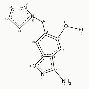 CCOc1cc2c(N)noc2cc1Cn1cccn1